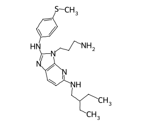 CCC(CC)CNc1ccc2nc(Nc3ccc(SC)cc3)n(CCCN)c2n1